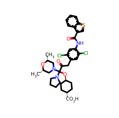 C[C@@H]1CN(C(O[C@H]2CC[C@H](C(=O)O)CC2)(C(=O)Cc2cc(Cl)c(NC(=O)c3csc4ccccc34)cc2Cl)N2CCCC2)C[C@H](C)O1